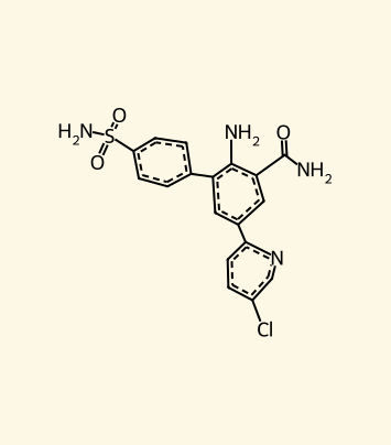 NC(=O)c1cc(-c2ccc(Cl)cn2)cc(-c2ccc(S(N)(=O)=O)cc2)c1N